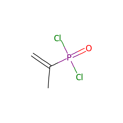 C=C(C)P(=O)(Cl)Cl